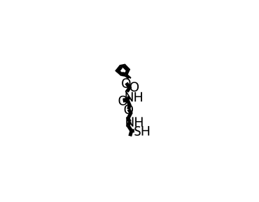 CC(S)CNCCOCC(=O)NCC(=O)OCc1ccccc1